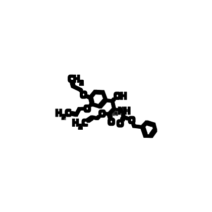 C=CCOC(=O)[C@@H](NC(=O)OCc1ccccc1)C(O)c1ccc(OCC=C)c(OCC=C)c1